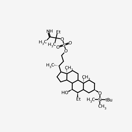 CC[C@@H]1C2C[C@H](O[Si](C)(C)C(C)(C)C)CC[C@]2(C)C2CC[C@@]3(C)C(CCC3[C@H](C)CCOS(=O)(=O)OC(C)(CC)C(C)=N)C2[C@@H]1O